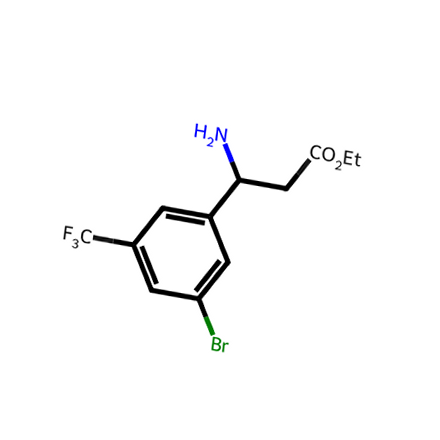 CCOC(=O)CC(N)c1cc(Br)cc(C(F)(F)F)c1